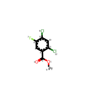 CC(C)OC(=O)c1cc(F)c(Cl)cc1Cl